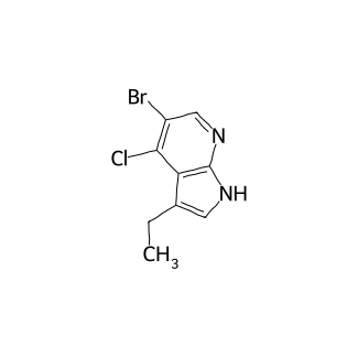 CCc1c[nH]c2ncc(Br)c(Cl)c12